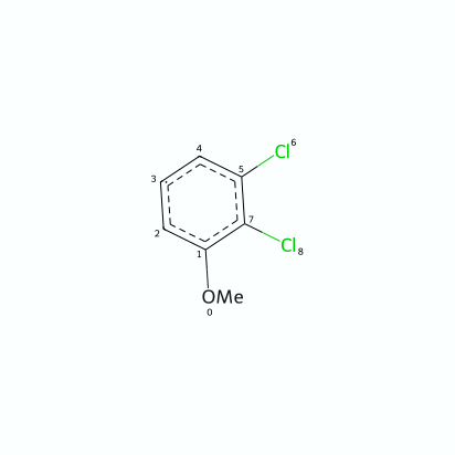 COc1c[c]cc(Cl)c1Cl